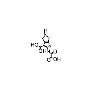 O=C(O)C(=O)Nc1sc2c(c1C(=O)O)CNC2